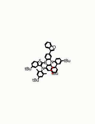 Cc1cc(C(C)(C)C)cc(C)c1N1c2cc(C(C)(C)C)cc3c2B(c2ccc(-c4coc5ccccc45)cc2N3c2ccc(C(C)(C)C)cc2-c2ccccc2)c2sc3ccc(C(C)(C)C)cc3c21